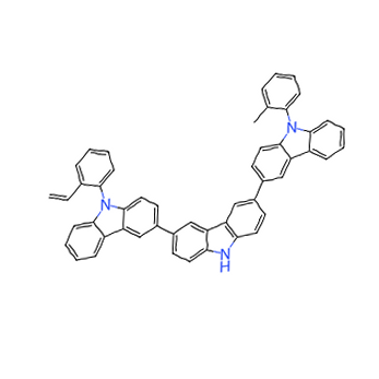 C=Cc1ccccc1-n1c2ccccc2c2cc(-c3ccc4[nH]c5ccc(-c6ccc7c(c6)c6ccccc6n7-c6ccccc6C)cc5c4c3)ccc21